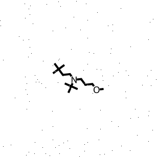 COCCCN(CCC(C)(C)C)C(C)(C)C